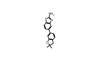 CC1(C)Cc2ccc(-c3[c]c4nc(N)sc4cc3)cc2O1